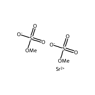 COS(=O)(=O)[O-].COS(=O)(=O)[O-].[Sr+2]